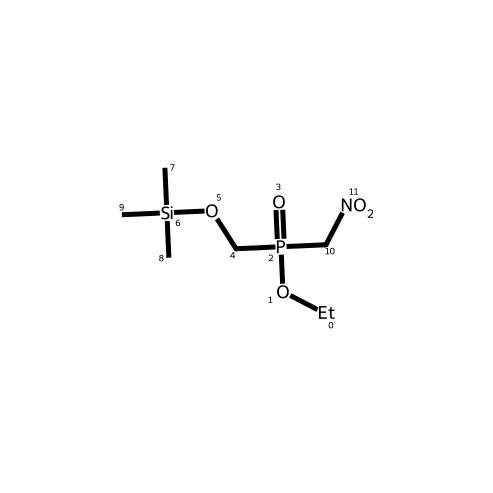 CCOP(=O)(CO[Si](C)(C)C)C[N+](=O)[O-]